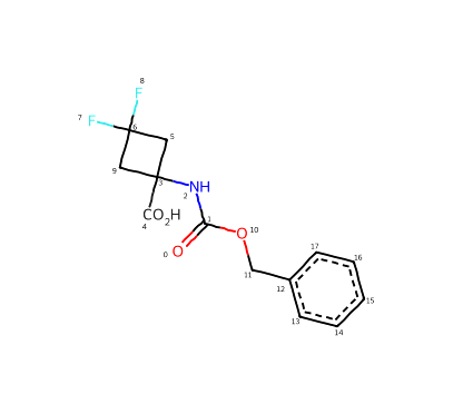 O=C(NC1(C(=O)O)CC(F)(F)C1)OCc1ccccc1